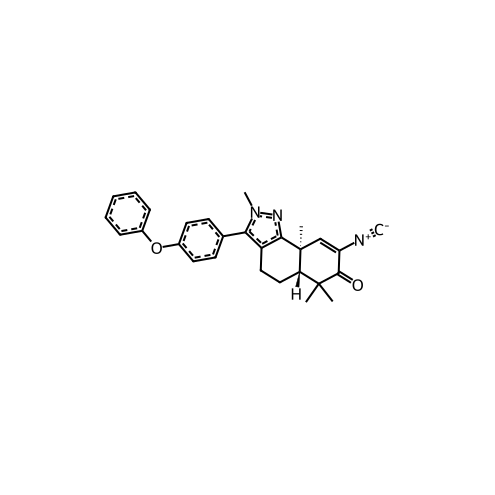 [C-]#[N+]C1=C[C@]2(C)c3nn(C)c(-c4ccc(Oc5ccccc5)cc4)c3CC[C@H]2C(C)(C)C1=O